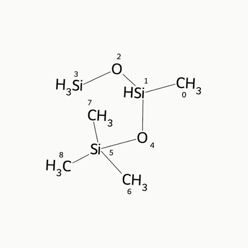 C[SiH](O[SiH3])O[Si](C)(C)C